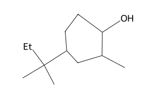 CCC(C)(C)C1CCC(O)C(C)C1